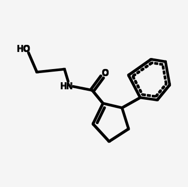 O=C(NCCO)C1=CCCC1c1ccccc1